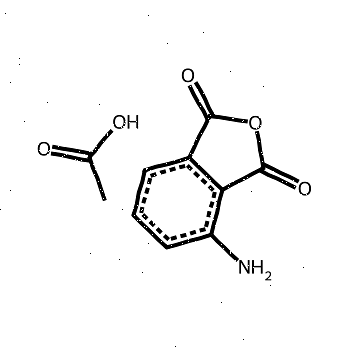 CC(=O)O.Nc1cccc2c1C(=O)OC2=O